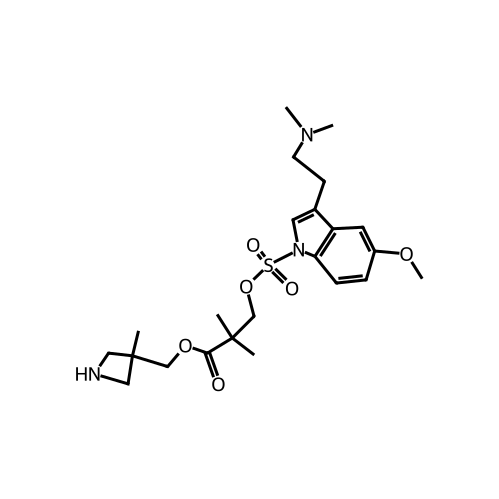 COc1ccc2c(c1)c(CCN(C)C)cn2S(=O)(=O)OCC(C)(C)C(=O)OCC1(C)CNC1